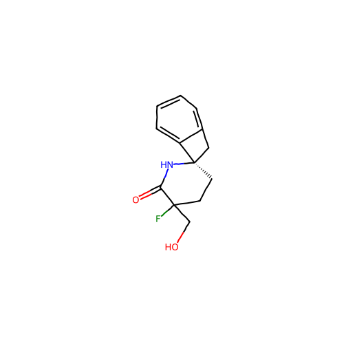 O=C1N[C@]2(CCC1(F)CO)Cc1ccccc12